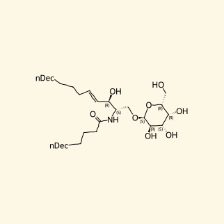 CCCCCCCCCCCCCC=C[C@@H](O)[C@H](CO[C@H]1O[C@H](CO)[C@H](O)[C@H](O)[C@H]1O)NC(=O)CCCCCCCCCCCCC